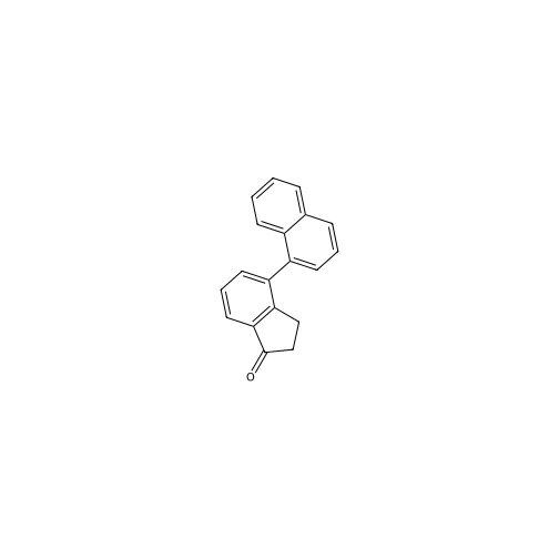 O=C1CCc2c1cccc2-c1cccc2ccccc12